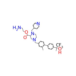 Cc1cc(CN2CCN(Cc3ccncc3)C(C(=O)OCCN)C2)ccc1-c1ccc(C(C)(O)C(F)(F)F)cc1